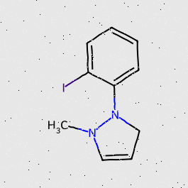 CN1C=CCN1c1ccccc1I